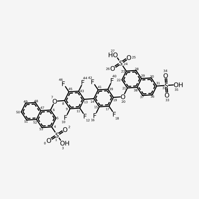 O=S(=O)(O)c1cc(Oc2c(F)c(F)c(-c3c(F)c(F)c(Oc4cc(S(=O)(=O)O)cc5cc(S(=O)(=O)O)ccc45)c(F)c3F)c(F)c2F)c2ccccc2c1